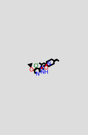 CC=C1CC2CC(C#N)CC(C1)N2C(=O)CC(C)c1c[nH]c2ncc(OC3CC3)c(Cl)c12